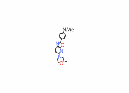 CNc1ccc(-c2nc3ccc(N4CCOC(C)C4)nc3o2)cc1